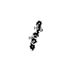 Cc1ccc(CN2CCC[C@@H](Nc3cnc(/C=C/C(=O)NOC4CCCCO4)cn3)C2)cc1